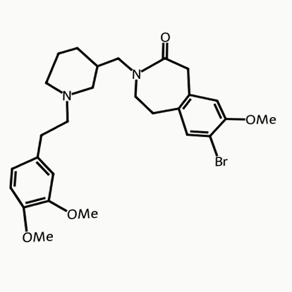 COc1cc2c(cc1Br)CCN(CC1CCCN(CCc3ccc(OC)c(OC)c3)C1)C(=O)C2